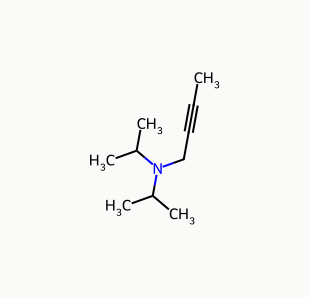 CC#CCN(C(C)C)C(C)C